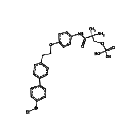 CCOc1ccc(-c2ccc(CCOc3ccc(NC(=O)[C@@](C)(N)COP(=O)(O)O)cc3)cc2)cc1